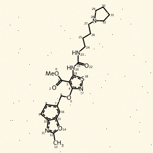 COC(=O)c1c(OCc2ccc3nc(C)oc3c2)nsc1NC(=O)NCCCCN1CCCC1